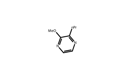 CCCc1nccnc1OC